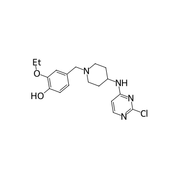 CCOc1cc(CN2CCC(Nc3ccnc(Cl)n3)CC2)ccc1O